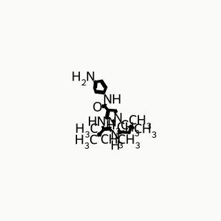 CC(C)(C)CC(C)(C)Nc1c(C(C)(C)C)[nH]c2c(C(=O)Nc3ccc(N)cc3)cnn12